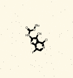 CC(C)(C)OC(=O)Nc1sc2c(F)cnc(Cl)c2c1C#N